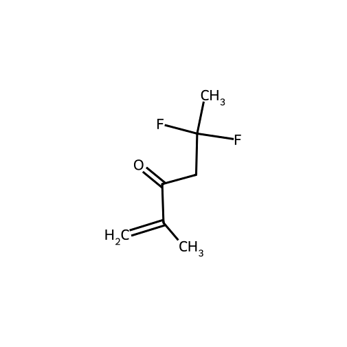 C=C(C)C(=O)CC(C)(F)F